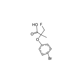 CC(CF)(Oc1ccc(Br)cc1)C(=O)O